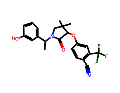 CC(c1cccc(O)c1)N1CC(C)(C)C(Oc2ccc(C#N)c(C(F)(F)F)c2)C1=O